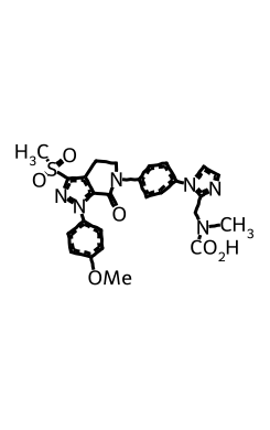 COc1ccc(-n2nc(S(C)(=O)=O)c3c2C(=O)N(c2ccc(-n4ccnc4CN(C)C(=O)O)cc2)CC3)cc1